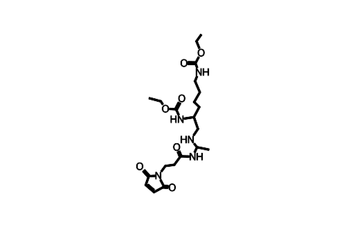 CCOC(=O)NCCCCC(CNC(C)NC(=O)CCN1C(=O)C=CC1=O)NC(=O)OCC